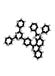 c1ccc(-c2nc3c4c(-c5ccc(-c6cc(-c7cccnc7)nc(-c7cccnc7)n6)cc5)nc5ccccc5c4ccc3n2-c2ccccc2)cc1